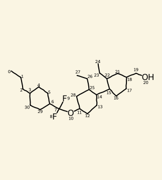 CCCC1CCC(C(F)(F)OC2CCC(C3CCC(CO)CC3CC)C(CC)C2)CC1